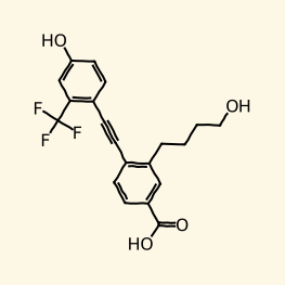 O=C(O)c1ccc(C#Cc2ccc(O)cc2C(F)(F)F)c(CCCCO)c1